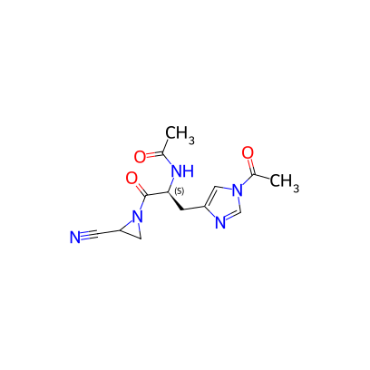 CC(=O)N[C@@H](Cc1cn(C(C)=O)cn1)C(=O)N1CC1C#N